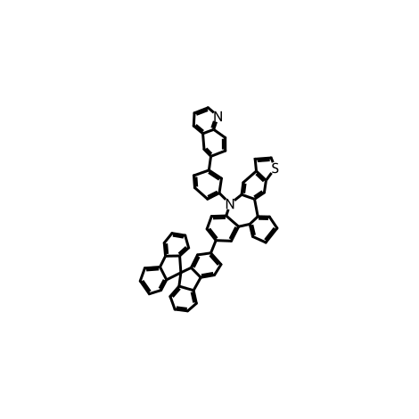 c1cc(-c2ccc3ncccc3c2)cc(N2c3ccc(-c4ccc5c(c4)C4(c6ccccc6-c6ccccc64)c4ccccc4-5)cc3-c3ccccc3-c3cc4sccc4cc32)c1